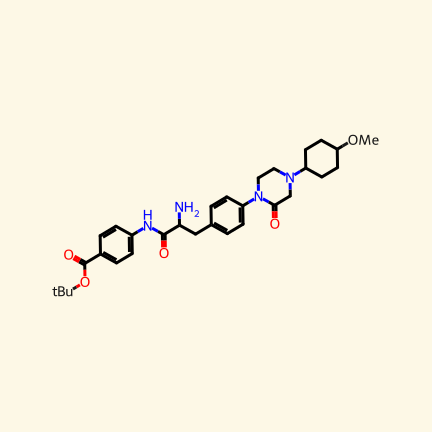 COC1CCC(N2CCN(c3ccc(CC(N)C(=O)Nc4ccc(C(=O)OC(C)(C)C)cc4)cc3)C(=O)C2)CC1